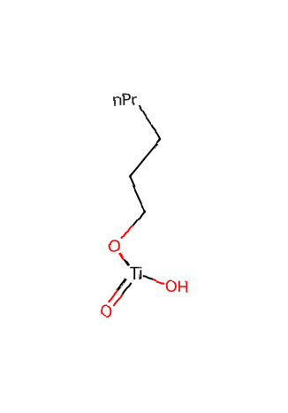 CCCCCC[O][Ti](=[O])[OH]